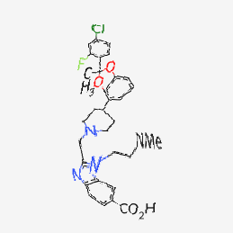 CNCCn1c(CN2CCC(c3cccc4c3OC(C)(c3ccc(Cl)cc3F)O4)CC2)nc2ccc(C(=O)O)cc21